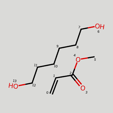 C=CC(=O)OC.OCCCCCCO